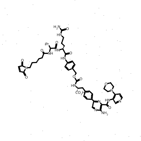 CC(C)C(NC(=O)CCCCCN1C(=O)C=CC1=O)C(=O)N[C@@H](CCCNC(N)=O)C(=O)Nc1ccc(COC(=O)N[C@H](Cc2ccc(-c3cnc(N)c(C(=O)Nc4cnccc4N4CCOCC4)n3)cc2)C(=O)O)cc1